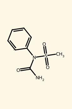 CS(=O)(=O)N(C(N)=O)c1[c]cccc1